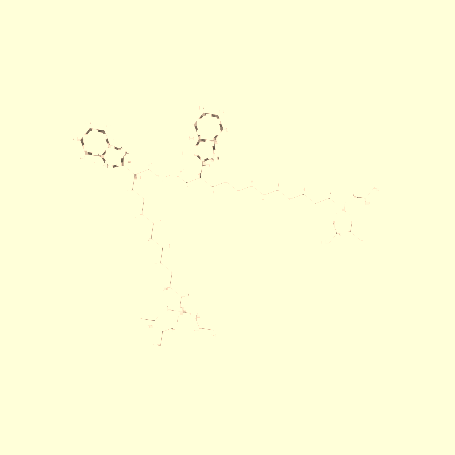 CCO[Si](CCCCCCCCCCC(CSSCC(CCCCCCCCCC[Si](OCC)(OCC)OCC)c1nc2ccccc2s1)c1nc2ccccc2s1)(OCC)OCC